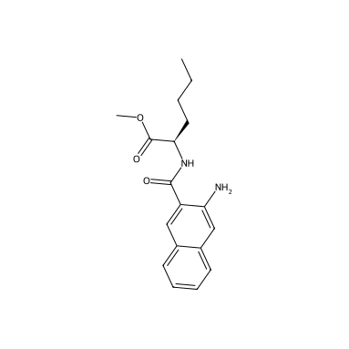 CCCC[C@@H](NC(=O)c1cc2ccccc2cc1N)C(=O)OC